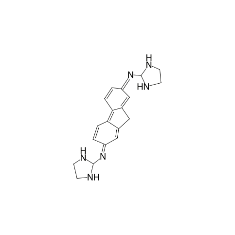 C1=C/C(=N/C2NCCN2)C=C2CC3=C/C(=N/C4NCCN4)C=CC3=C12